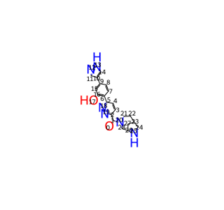 O=C(c1ccc(-c2ccc(-c3cn[nH]c3)cc2O)nn1)N1CCC2CNC(C2)C1